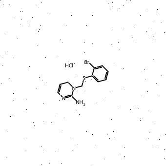 Cl.NC1=NC=CCN1CSc1ccccc1Br